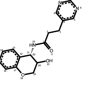 O=C(CCc1cncnc1)N[C@H]1c2ccccc2OCC1O